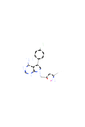 CC(C)c1cc(Cn2cc(-c3ccc(Cl)cc3)c3c(N)ncnc32)on1